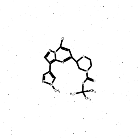 Cn1cc(-c2cnn3c(Cl)cc(C4CN(C(=O)OC(C)(C)C)CCS4)nc23)cn1